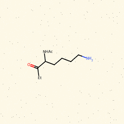 CCC(=O)C(CCCCN)NC(C)=O